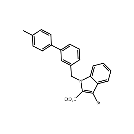 CCOC(=O)c1c(Br)c2ccccc2n1Cc1cccc(-c2ccc(C)cc2)c1